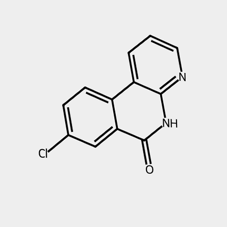 O=c1[nH]c2ncccc2c2ccc(Cl)cc12